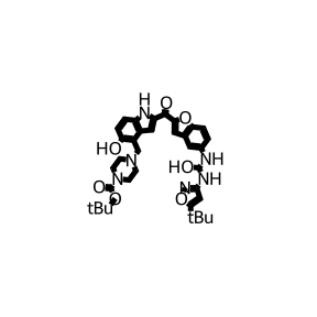 CC(C)(C)OC(=O)N1CCN(Cc2c(O)ccc3[nH]c(C(=O)c4cc5cc(NC(O)Nc6cc(C(C)(C)C)on6)ccc5o4)cc23)CC1